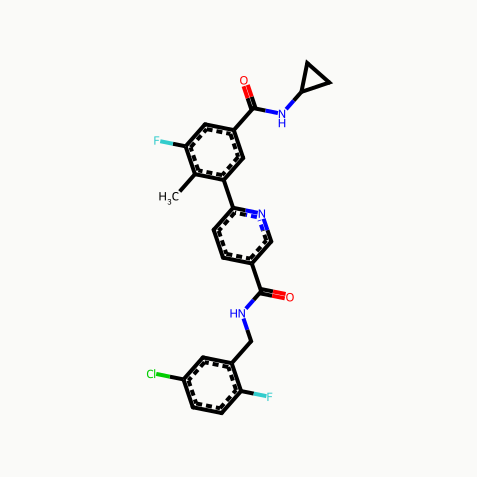 Cc1c(F)cc(C(=O)NC2CC2)cc1-c1ccc(C(=O)NCc2cc(Cl)ccc2F)cn1